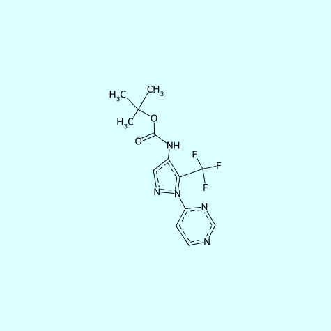 CC(C)(C)OC(=O)Nc1cnn(-c2ccncn2)c1C(F)(F)F